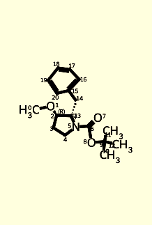 CO[C@@H]1CCN(C(=O)OC(C)(C)C)[C@H]1Cc1ccccc1